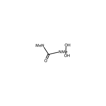 CNC(=O)NC.OO